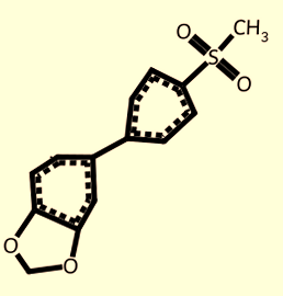 CS(=O)(=O)c1ccc(-c2[c]cc3c(c2)OCO3)cc1